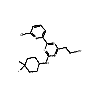 CC(C)CCc1nc(NC2CCC(F)(F)CC2)nc(-c2cccc(Cl)n2)n1